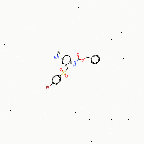 CC(C)N[C@@H]1CC[C@H](NC(=O)OCc2ccccc2)[C@@H](CS(=O)(=O)c2ccc(Br)cc2)C1